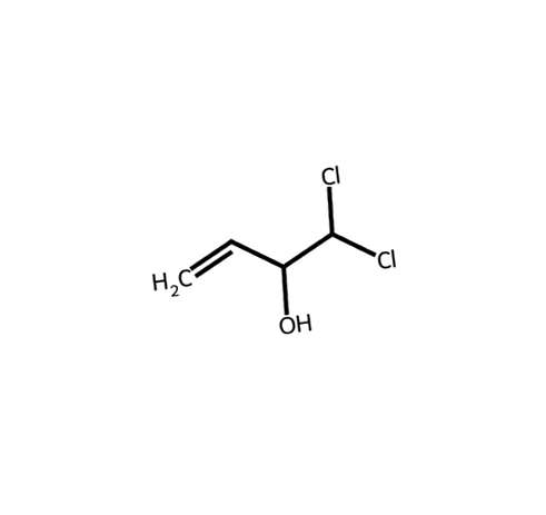 C=CC(O)C(Cl)Cl